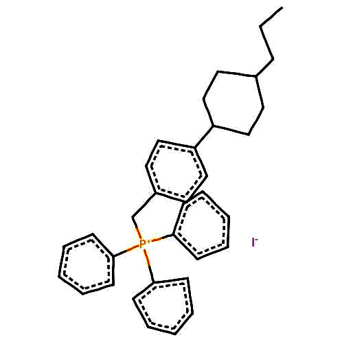 CCCC1CCC(c2ccc(C[P+](c3ccccc3)(c3ccccc3)c3ccccc3)cc2)CC1.[I-]